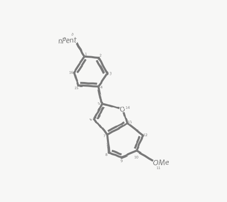 CCCCCc1ccc(-c2cc3ccc(OC)cc3o2)cc1